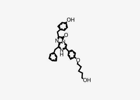 O=c1c(Cc2ccc(O)cc2)nc2c(Cc3ccccc3)[nH]c(-c3ccc(OCCCCCO)cc3)cn1-2